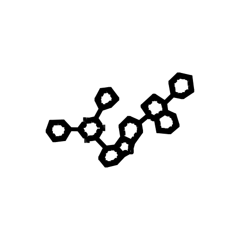 c1ccc(-c2nc(-c3ccccc3)nc(-c3cccc4oc5cc(-c6ccc(-c7ccccc7)c7ccccc67)ccc5c34)n2)cc1